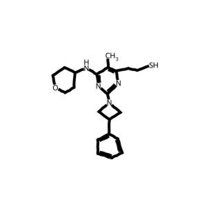 Cc1c(CCS)nc(N2CC(c3ccccc3)C2)nc1NC1CCOCC1